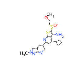 COCC[S+]([O-])c1sc2nc(-c3cnc4nn(C)cc4c3)cc(C3CCC3)c2c1N